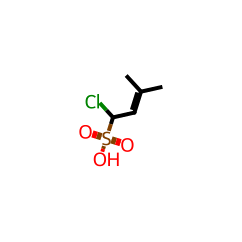 CC(C)=CC(Cl)S(=O)(=O)O